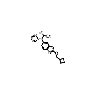 CCC(CC)C(c1ccc2nc(OCC3CCC3)sc2c1)n1cncn1